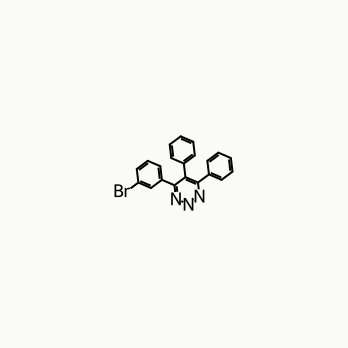 Brc1cccc(-c2nnnc(-c3ccccc3)c2-c2ccccc2)c1